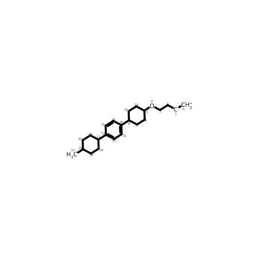 [CH2+][CH-]CCOC1CCC(c2ccc(C3CCC(C)CC3)cc2)CC1